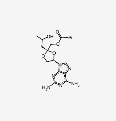 CC(O)C[C@]1(COC(=O)C(C)C)OC[C@H](n2cnc3c(N)nc(N)nc32)O1